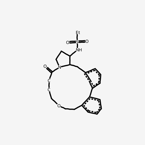 CCS(=O)(=O)NC1CCN2C(=O)CCCOCCc3ccccc3-c3cccc(c3)CC12